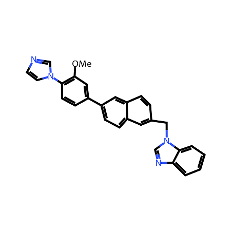 COc1cc(-c2ccc3cc(Cn4cnc5ccccc54)ccc3c2)ccc1-n1ccnc1